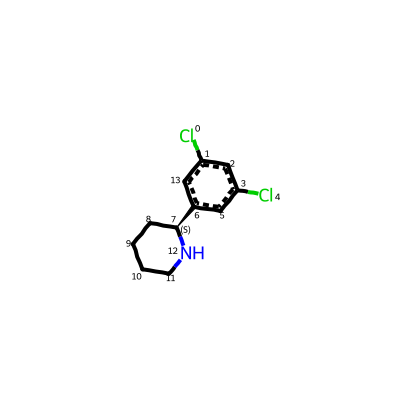 Clc1cc(Cl)cc([C@@H]2CCCCN2)c1